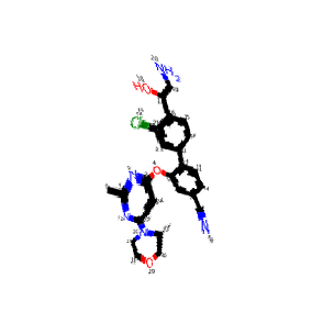 Cc1nc(Oc2cc(C#N)ccc2-c2ccc(C(O)CN)c(Cl)c2)cc(N2CCOCC2)n1